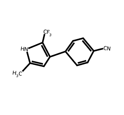 Cc1cc(-c2ccc(C#N)cc2)c(C(F)(F)F)[nH]1